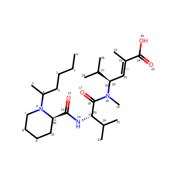 CCCCC(C)N1CCCC[C@@H]1C(=O)N[C@H](C(=O)N(C)[C@H](/C=C(\C)C(=O)O)C(C)C)C(C)C